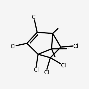 [CH2]C1([CH2])C2(C)C(Cl)=C(Cl)C1(Cl)C(Cl)(Cl)C2Cl